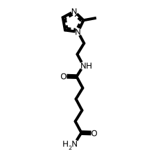 Cc1nccn1CCNC(=O)CCCCC(N)=O